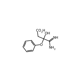 N=C(N)C(O)(CC(=O)O)Oc1ccccc1